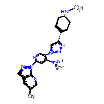 CC(C)Nc1cc(-n2ncc3cc(C#N)cnc32)ncc1-n1cc([C@H]2CC[C@@H](NC(=O)O)CC2)nn1